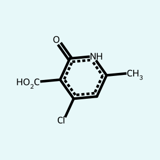 Cc1cc(Cl)c(C(=O)O)c(=O)[nH]1